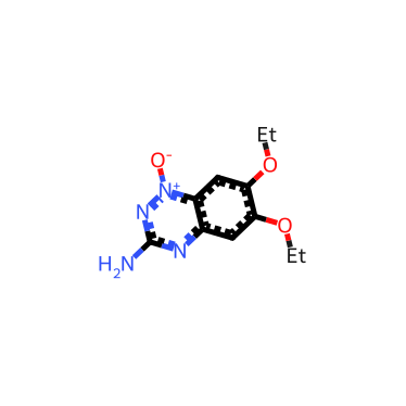 CCOc1cc2nc(N)n[n+]([O-])c2cc1OCC